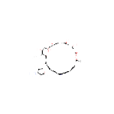 CCC(C)C1C\C=C/C=C\C=C/C=C/C=C\C(O[C@@H]2O[C@H](C)[C@@H](O)[C@H](N)[C@@H]2O)CC2OC(O)(CC(O)CCCC(=O)CC(O)CC(=O)O1)CC(O)C2C(=O)O